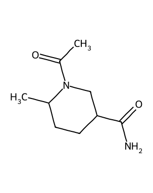 CC(=O)N1CC(C(N)=O)CCC1C